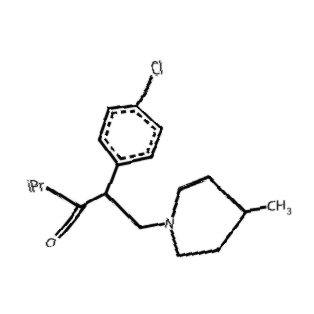 CC1CCN(CC(C(=O)C(C)C)c2ccc(Cl)cc2)CC1